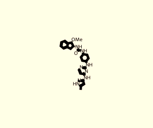 CO[C@H]1c2ccccc2C[C@H]1NC(=O)NC1CCC(Nc2nccc(Nc3cc(C)[nH]n3)n2)CC1